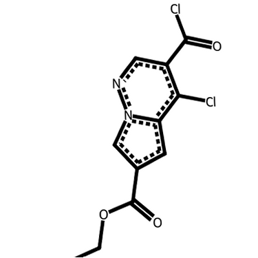 CCOC(=O)c1cc2c(Cl)c(C(=O)Cl)cnn2c1